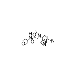 CC1CN(c2ccc(C#N)n3nccc23)CC(C(=O)NC2CCOCC2)O1